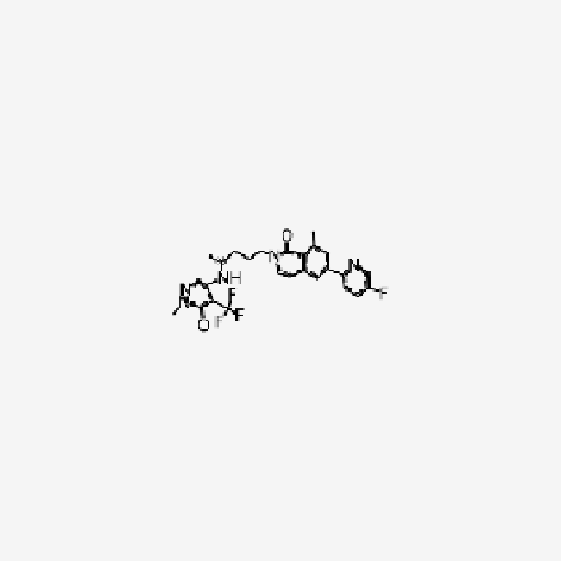 Cc1cc(-c2ccc(F)cn2)cc2ccn(CCC[C@H](C)Nc3cnn(C)c(=O)c3C(F)(F)F)c(=O)c12